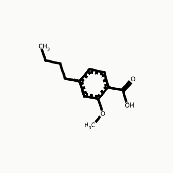 CCCCc1ccc(C(=O)O)c(OC)c1